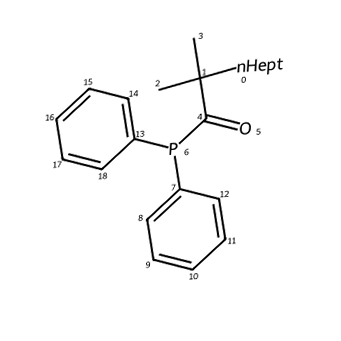 CCCCCCCC(C)(C)C(=O)P(c1ccccc1)c1ccccc1